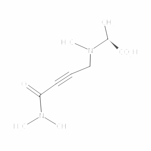 C[C@@H](C(=O)O)N(C)CC#CC(=O)N(C)C